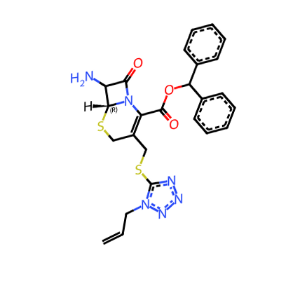 C=CCn1nnnc1SCC1=C(C(=O)OC(c2ccccc2)c2ccccc2)N2C(=O)C(N)[C@H]2SC1